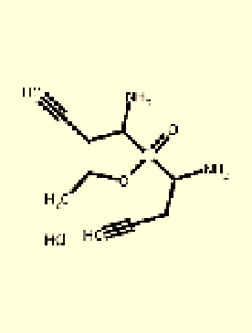 C#CCC(N)P(=O)(OCC)C(N)CC#C.Cl